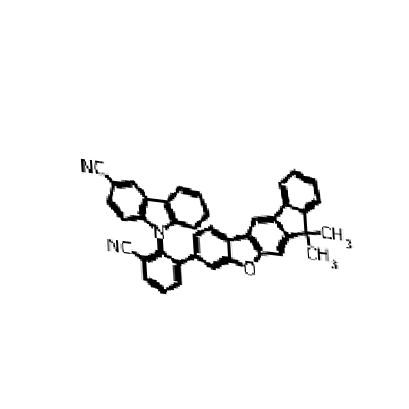 CC1(C)c2ccccc2-c2cc3c(cc21)oc1cc(-c2cccc(C#N)c2-n2c4c(c5cc(C#N)ccc52)C=CCC4)ccc13